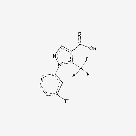 O=C(O)c1cnn(-c2cccc(F)c2)c1C(F)(F)F